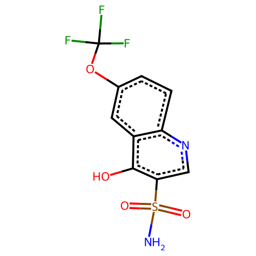 NS(=O)(=O)c1cnc2ccc(OC(F)(F)F)cc2c1O